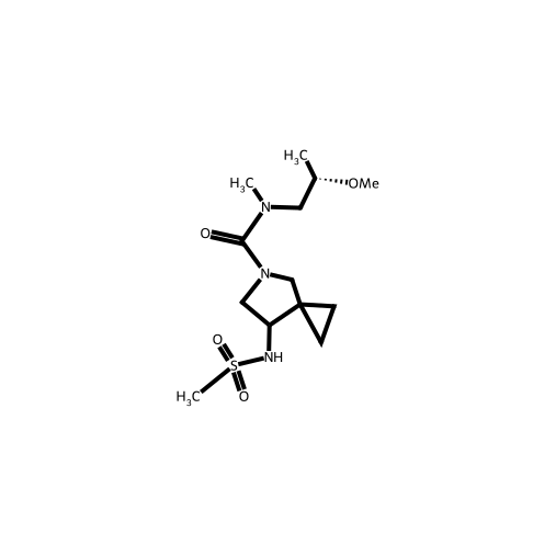 CO[C@@H](C)CN(C)C(=O)N1CC(NS(C)(=O)=O)C2(CC2)C1